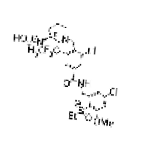 CCS(=O)(=O)c1c(CNC(=O)c2cc(Cl)c(CN3CCC[C@H](N(C)C(=O)O)C3)c(C(F)(F)F)c2)cc(Cl)cc1OC